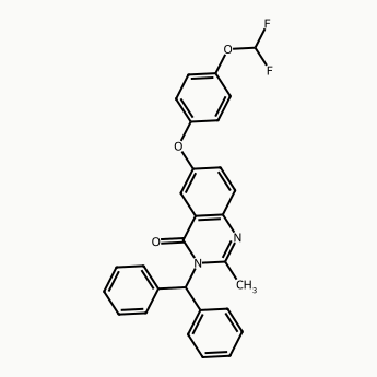 Cc1nc2ccc(Oc3ccc(OC(F)F)cc3)cc2c(=O)n1C(c1ccccc1)c1ccccc1